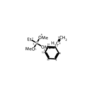 C=C.CC[Si](OC)(OC)OC.c1ccccc1